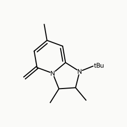 C=C1C=C(C)C=C2N1C(C)C(C)N2C(C)(C)C